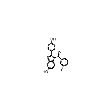 O=C(c1cccc(F)c1)c1c(-c2ccc(O)cc2)sc2cc(O)ccc12